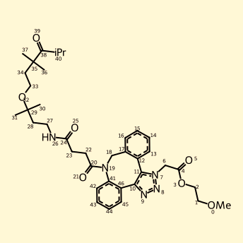 COCCOC(=O)Cn1nnc2c1-c1ccccc1CN(C(=O)CCC(=O)NCCC(C)(C)OCCC(C)(C)C(=O)C(C)C)c1ccccc1-2